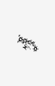 CC1(COc2c(N3CCN([S@+]([O-])COc4ccccc4)CC3)cnn(-c3cc(F)cc(F)c3)c2=O)CC1